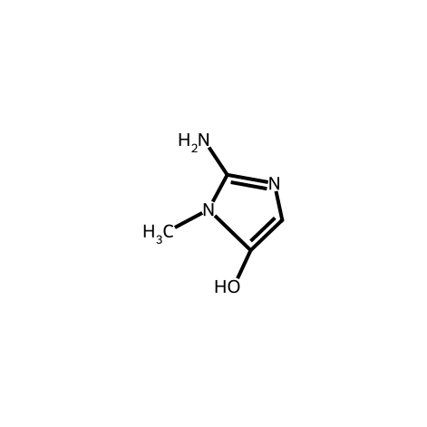 Cn1c(O)cnc1N